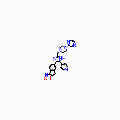 O/N=C1\CCc2cc(-c3nc(CN4CCN(c5cnccn5)CC4)[nH]c3-c3ccncc3)ccc21